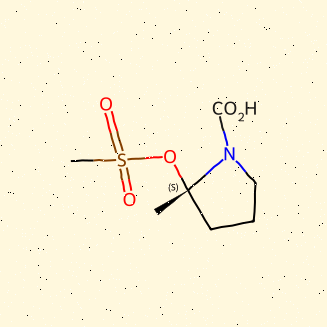 C[C@]1(OS(C)(=O)=O)CCCN1C(=O)O